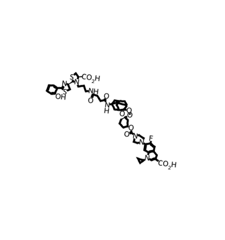 O=C(CCC(=O)NC12CC3CC(C1)C1(OO[C@@]4(CCCC(OC(=O)N5CCN(c6cc7c(cc6F)CC(C(=O)O)=CN7C6CC6)CC5)C4)O1)C(C3)C2)NCCCN1C([C@H]2CSC(c3ccccc3O)=N2)SC[C@H]1C(=O)O